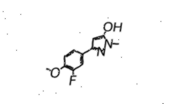 COc1ccc(-c2cc(O)n(C)n2)cc1F